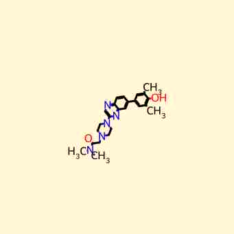 Cc1cc(-c2ccc3ncc(N4CCN(CC(=O)N(C)C)CC4)nc3c2)cc(C)c1O